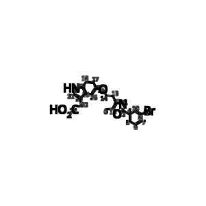 Cc1oc(-c2cccc(Br)c2)nc1CCOc1ccc2[nH]cc(CC(=O)O)c2c1